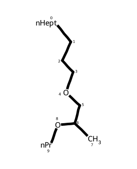 CCCCCCCCCCOCC(C)OCCC